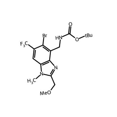 COCc1nc2c(CNC(=O)OC(C)(C)C)c(Br)c(C(F)(F)F)cc2n1C